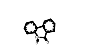 O=C1c2ccccc2-c2ccc[c]c2[PH]1=O